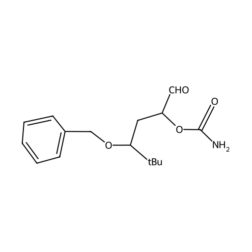 CC(C)(C)C(CC(C=O)OC(N)=O)OCc1ccccc1